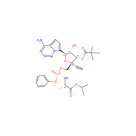 CC(C)OC(=O)[C@H](C)N[P@](=O)(OC[C@@]1(C#N)O[C@@H](c2ccc3c(N)ncnn23)[C@H](O)[C@@H]1OC(=O)C(C)(C)C)Oc1ccccc1